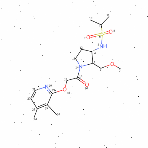 COCC1[C@@H](NS(=O)(=O)C(C)C)CCN1C(=O)COc1nccc(C)c1C